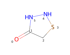 O=C1CSNN1